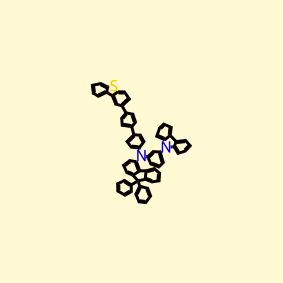 c1ccc(C2(c3ccccc3)c3ccccc3-c3c(N(c4ccc(-c5ccc(-c6ccc7sc8ccccc8c7c6)cc5)cc4)c4cccc(-n5c6ccccc6c6ccccc65)c4)cccc32)cc1